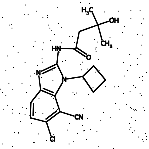 CC(C)(O)CC(=O)Nc1nc2ccc(Cl)c(C#N)c2n1C1CCC1